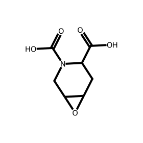 O=C(O)C1CC2OC2CN1C(=O)O